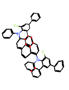 FC1=CC(c2ccccc2)CC(c2ccccc2)=C1N(c1ccccc1)C1CC=c2ccc3c(N(C4=CC=CCC4)c4c(F)cc(-c5ccccc5)cc4-c4ccccc4)ccc4ccc1c2c43